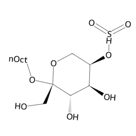 CCCCCCCCO[C@]1(CO)OC[C@@H](O[SH](=O)=O)[C@@H](O)[C@@H]1O